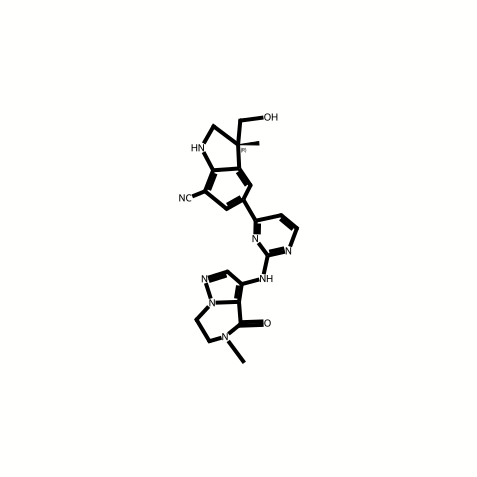 CN1CCn2ncc(Nc3nccc(-c4cc(C#N)c5c(c4)[C@@](C)(CO)CN5)n3)c2C1=O